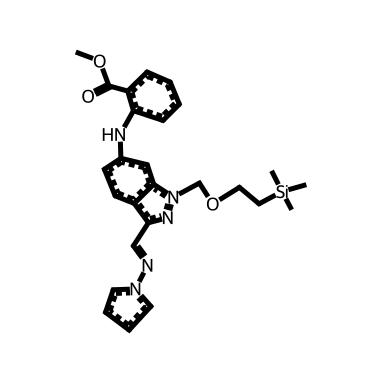 COC(=O)c1ccccc1Nc1ccc2c(/C=N/n3cccc3)nn(COCC[Si](C)(C)C)c2c1